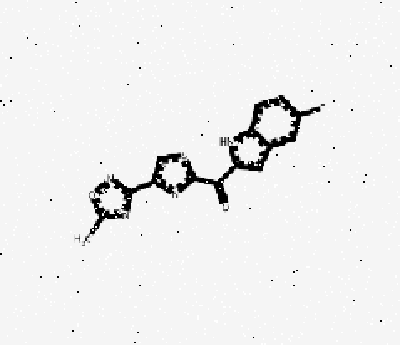 Cc1nc(-c2csc(C(=O)c3cc4cc(F)ccc4[nH]3)n2)no1